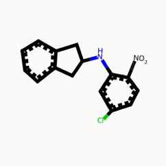 O=[N+]([O-])c1ccc(Cl)cc1NC1Cc2ccccc2C1